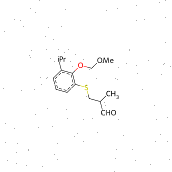 COCOc1c(SCC(C)C=O)cccc1C(C)C